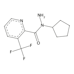 NN(C(=O)c1ncccc1C(F)(F)F)C1CCCC1